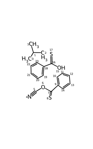 CC(C)C.N#COC(=S)c1ccccc1.OC(=S)c1ccccc1